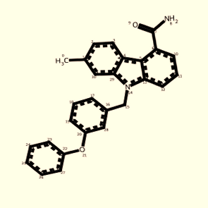 Cc1c[c]c2c3c(C(N)=O)cccc3n(Cc3cccc(Oc4ccccc4)c3)c2c1